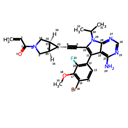 C=CC(=O)N1C[C@@H]2[C@@H](C#Cc3c(-c4ccc(Br)c(OC)c4F)c4c(N)ncnc4n3C(C)C)[C@@H]2C1